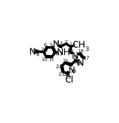 CC(Cc1nc2cc(C#N)ccc2[nH]1)Cn1ccnc1-c1cccc(Cl)n1